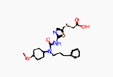 COC1CCC(N(CCCc2ccccc2)C(=O)Nc2ncc(SCC(=O)O)s2)CC1